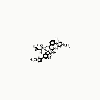 C=N/C=N\N(c1cc([C@@H](COC(=O)N[C@H]2CC2(F)F)N2C(=N)N[C@](CC(C)(C)C)(c3ccc(-c4ccn(C)n4)cc3)C2=O)ccc1Cl)C(F)F